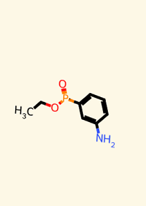 CCO[P](=O)c1cccc(N)c1